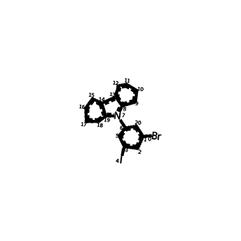 Brc1cc(I)cc(-n2c3ccccc3c3ccccc32)c1